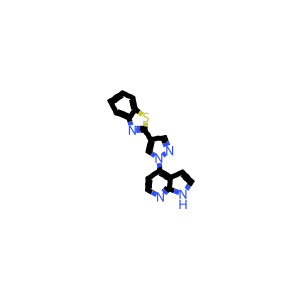 c1ccc2sc(-c3cnn(-c4ccnc5[nH]ccc45)c3)nc2c1